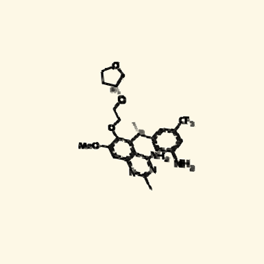 COc1cc2nc(C)nc(N)c2c([C@H](C)c2cc(N)cc(C(F)(F)F)c2)c1OCCO[C@@H]1CCOC1